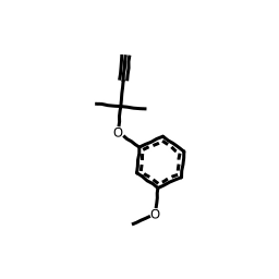 C#CC(C)(C)Oc1cccc(OC)c1